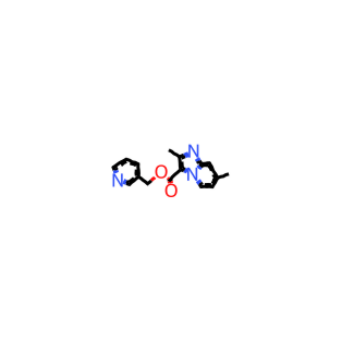 Cc1ccn2c(C(=O)OCc3cccnc3)c(C)nc2c1